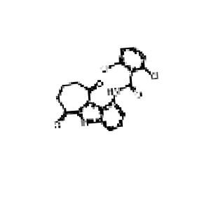 O=C1CCCC(=O)c2c1[nH]c1cccc(NC(=O)c3c(Cl)cccc3Cl)c21